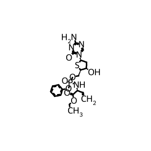 C=C[C@H](NP(=O)(OC[C@H]1S[C@@H](n2cnc(N)nc2=O)C[C@H]1O)Oc1ccccc1)C(=O)OCC